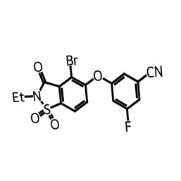 CCN1C(=O)c2c(ccc(Oc3cc(F)cc(C#N)c3)c2Br)S1(=O)=O